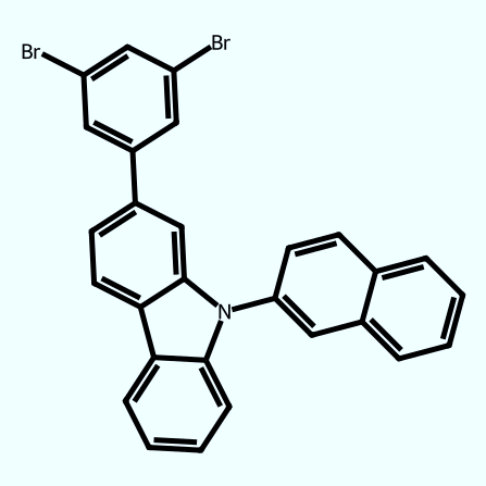 Brc1cc(Br)cc(-c2ccc3c4ccccc4n(-c4ccc5ccccc5c4)c3c2)c1